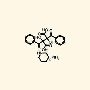 N[C@@H]1CCCNC1.O=C(O)C(O)(C(=O)c1ccccc1)C(O)(C(=O)O)C(=O)c1ccccc1